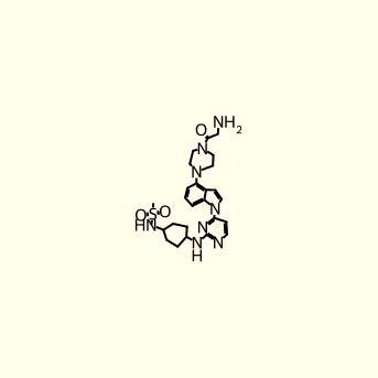 CS(=O)(=O)NC1CCC(Nc2nccc(-n3ccc4c(N5CCN(C(=O)CN)CC5)cccc43)n2)CC1